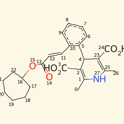 CC1=C(C(=O)O)C(c2ccccc2C=CC(=O)OC2CCCCCC2)C(C(=O)O)=C(C)N1